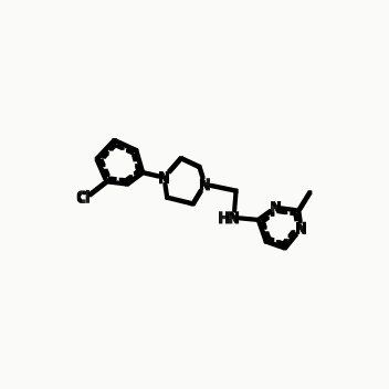 Cc1nccc(NCN2CCN(c3cccc(Cl)c3)CC2)n1